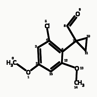 COc1cc(Cl)c(C2(C=O)CC2)c(OC)c1